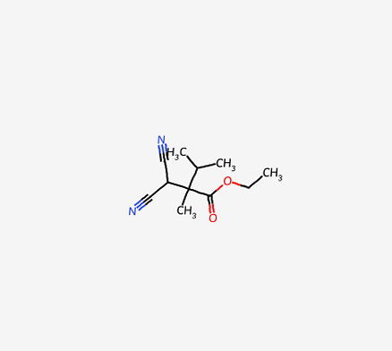 CCOC(=O)C(C)(C(C)C)C(C#N)C#N